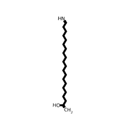 C=C(O)CCCCCCCCCCCCCCCCCCC=N